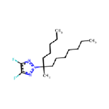 CCCCCCCC(C)(CCCCC)n1nc(F)c(F)n1